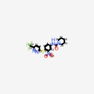 O=C(Nc1ccc(Sc2ccc(C(F)(F)F)nn2)c([N+](=O)[O-])c1)N1CCCCC1